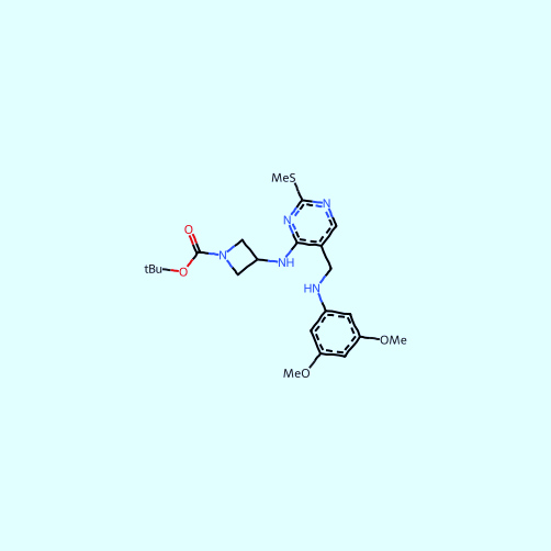 COc1cc(NCc2cnc(SC)nc2NC2CN(C(=O)OC(C)(C)C)C2)cc(OC)c1